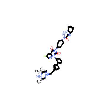 C[C@@H]1CN(Cc2ccc(-c3cccc(-n4c(=O)n(C5CCC(NC(=O)c6nc7ccccc7[nH]6)CC5)c(=O)c5cc(F)cnc54)c3)cc2)C[C@H](C)N1